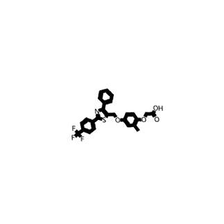 Cc1cc(OCc2sc(-c3ccc(C(F)(F)F)cc3)nc2-c2ccccc2)ccc1OCC(=O)O